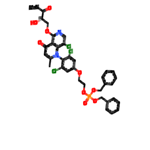 CNC(=O)[C@@H](O)COc1ncc(Cl)c2c1c(=O)cc(C)n2-c1c(Cl)cc(OCCOP(=O)(OCc2ccccc2)OCc2ccccc2)cc1Cl